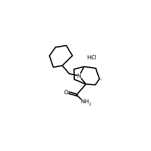 Cl.NC(=O)C12C[CH]CC(CC1)N2CC1CCCCC1